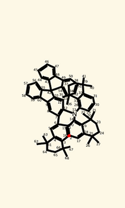 Cc1cc2c(cc1-c1cc3c(cc1N(c1cccc4c1C(C)(C)CCC4(C)C)c1cccc4c1C(C)(C)CCC4(C)C)C1(c4ccccc4-c4ccccc41)c1ccccc1-3)C(C)(C)CCC2(C)C